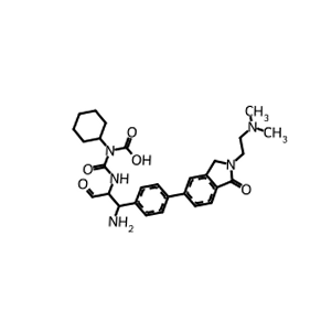 CN(C)CCN1Cc2cc(-c3ccc(C(N)C(C=O)NC(=O)N(C(=O)O)C4CCCCC4)cc3)ccc2C1=O